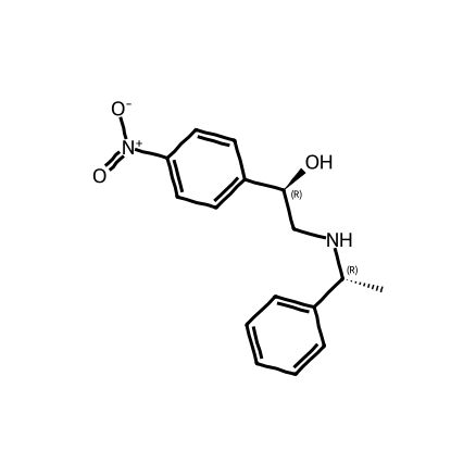 C[C@@H](NC[C@H](O)c1ccc([N+](=O)[O-])cc1)c1ccccc1